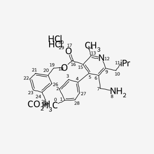 Cc1ccc(-c2c(CN)c(CC(C)C)nc(C)c2C(=O)OCc2cccc(C(=O)O)c2)cc1.Cl.Cl